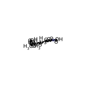 CC1(C)COP(=O)(O)O[C@H]1C(=O)NCCC(=O)NCCSC(=O)CC(=O)CC(=O)/C=C/C(=O)O